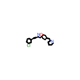 Clc1cccc(C#CC2=NOC3(CCC(=Cc4ccccn4)CC3)C2)c1